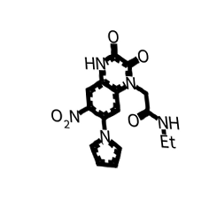 CCNC(=O)Cn1c(=O)c(=O)[nH]c2cc([N+](=O)[O-])c(-n3cccc3)cc21